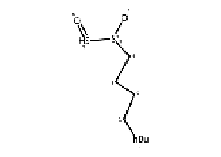 CCCCCCCC[S+]([O-])[SH]=O